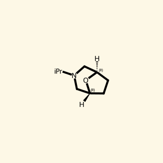 CC(C)N1C[C@H]2CC[C@H](C1)O2